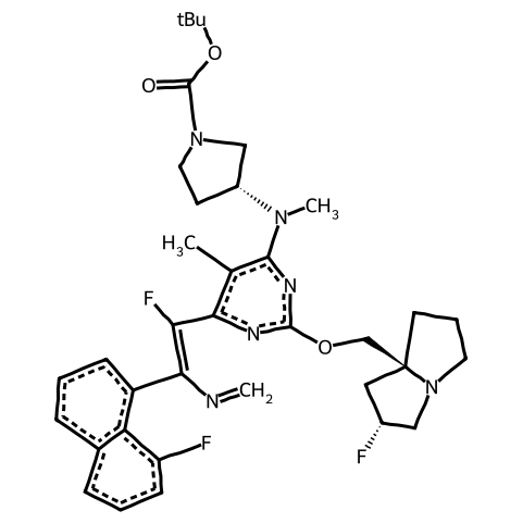 C=N/C(=C(/F)c1nc(OC[C@@]23CCCN2C[C@H](F)C3)nc(N(C)[C@@H]2CCN(C(=O)OC(C)(C)C)C2)c1C)c1cccc2cccc(F)c12